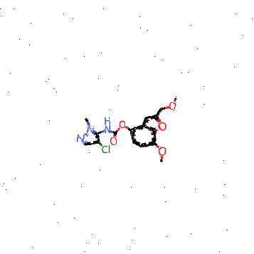 COCc1cc2c(OC(=O)Nc3c(Cl)cnn3C)ccc(OC)c2o1